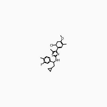 COC1=C(C)C=C(c2nc(NC(CC3CC3)c3ccc(C)c(F)c3)sc2C)C(Cl)C1